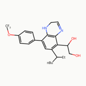 CCCCC(CC)c1cc(-c2ccc(OC(F)(F)F)cc2)c2c(c1C(O)CO)N=CCN2